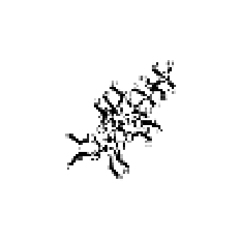 CCO[Si](OCC)(OCC)[Si](OCC)(OCC)[Si](OCC)(OCC)[Si](OCC)(OCC)[Si](C)(C)[Si](C)(C)[Si](C)(C)[Si](C)(C)C